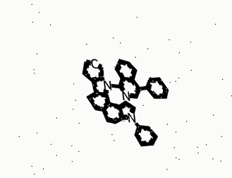 c1ccc(-c2cnc(-n3c4ccccc4c4ccc5ccc6c(ccn6-c6ccccc6)c5c43)c3ccccc23)cc1